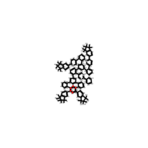 CC1(C)c2ccc(-c3ccc(-c4ccccc4-c4cc(-c5ccccc5-c5ccc(-c6ccc7c(c6)C(C)(C)C(C)(C)C7(C)C)nc5)cc(-c5cccc(-c6cc(-c7ccccc7-c7ccc(-c8ccc9c(c8)C(C)(C)C(C)(C)C9(C)C)nc7)cc(-c7ccccc7-c7ccc(-c8ccc9c(c8)C(C)(C)C(C)(C)C9(C)C)nc7)c6)c5-c5cnc(-c6ccccc6)nc5)c4)cn3)cc2C(C)(C)C1(C)C